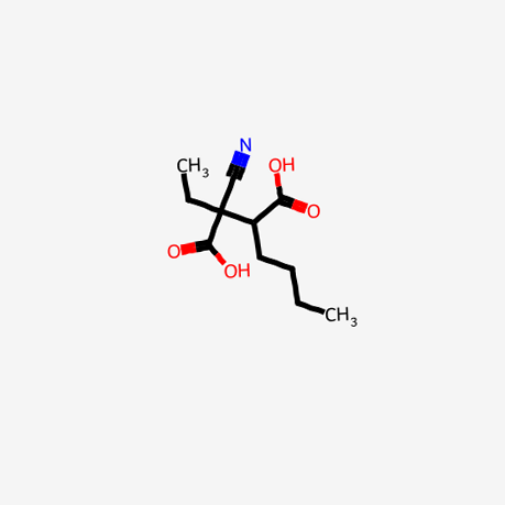 CCCCC(C(=O)O)C(C#N)(CC)C(=O)O